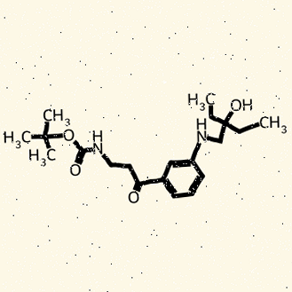 CCC(O)(CC)CNc1cccc(C(=O)CCNC(=O)OC(C)(C)C)c1